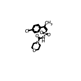 CC(=CS(=O)(=O)NC(=O)N1CCOCC1)c1ccc(Cl)cc1